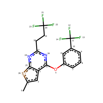 Cc1cc2c(Oc3cccc(C(F)(F)F)c3)nc(CCC(F)(F)F)nc2s1